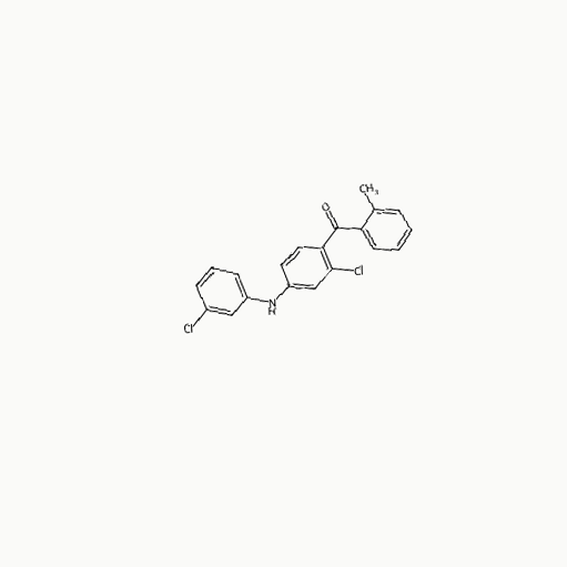 Cc1ccccc1C(=O)c1ccc(Nc2cccc(Cl)c2)cc1Cl